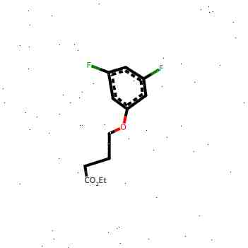 CCOC(=O)CCCOc1cc(F)cc(F)c1